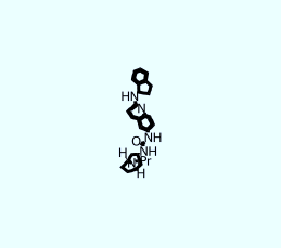 CC(C)N1[C@@H]2CC[C@H]1C[C@H](NC(=O)Nc1ccc3nc(N[C@@H]4CCc5ccccc54)ccc3c1)C2